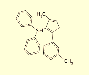 CC1=CCC(c2cccc(C)c2)=C1[SiH](c1ccccc1)c1ccccc1